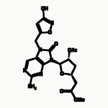 COC(=O)C[C@@H]1C[C@@H](OC(C)=O)[C@H](n2c(=O)n(Cc3cc(O)no3)c3cnc(N)nc32)O1